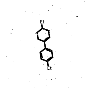 CCc1ccc(C2=CCC(CC)CC2)cc1